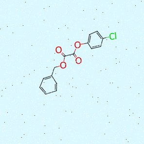 O=C(OCc1ccccc1)C(=O)Oc1ccc(Cl)cc1